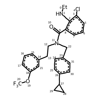 CCNc1c(Cl)cccc1C(=O)N(CCc1cccc(OC(F)(F)F)c1)Cc1ccc(C2CC2)cc1